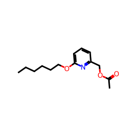 CCCCCCOc1cccc(COC(C)=O)n1